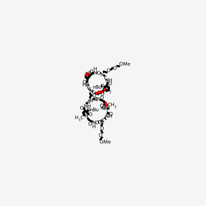 CCCCOc1c2cccc1C(=O)NCCN(CC(CN1CCNC(=O)c3cc(C)n(c(=O)c3OCCCC)CC(=O)NCCN(CCOCCOCCOC)CCNC(=O)Cn3c(C)cc(c(OCCCC)c3=O)C(=O)NCC1)OCCCCN)CCNC(=O)c1cccc(c1OCCCC)C(=O)NCCN(CCOCCOCCOC)CCNC2=O